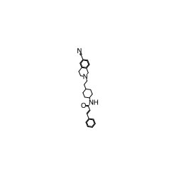 N#Cc1ccc2c(c1)CCN(CCC1CCC(NC(=O)/C=C/c3ccccc3)CC1)C2